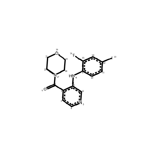 O=C(c1ccncc1Nc1ccc(I)cc1F)N1CCOCC1